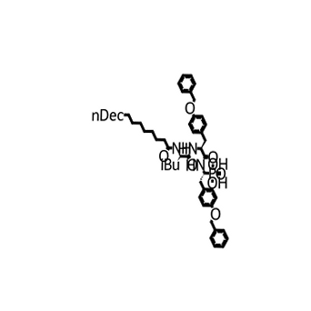 CCCCCCCCCCCCCCCCCC(=O)N[C@H](C(=O)N[C@@H](Cc1ccc(OCc2ccccc2)cc1)C(=O)N[C@@H](Cc1ccc(OCc2ccccc2)cc1)P(=O)(O)O)[C@@H](C)CC